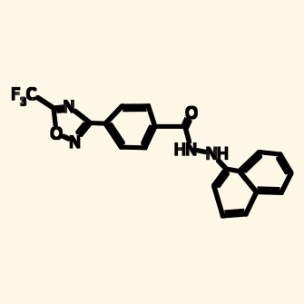 O=C(NNc1cccc2ccccc12)c1ccc(-c2noc(C(F)(F)F)n2)cc1